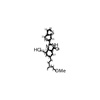 COCCN(C)CCc1cc(C)c2nc(-c3cc4sccc4cn3)[nH]c(=O)c2c1.Cl